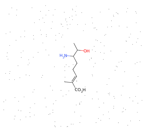 C/C(=C\CCC(N)C(C)O)C(=O)O